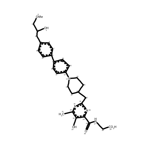 COCC(O)Cc1ccc(-c2ccc(N3CCC(Cc4nc(C)c(O)c(C(=O)NCC(=O)O)n4)CC3)cc2)cc1